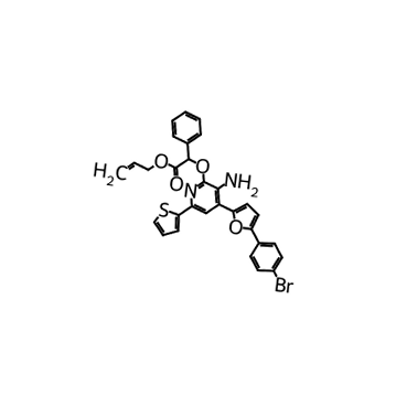 C=CCOC(=O)C(Oc1nc(-c2cccs2)cc(-c2ccc(-c3ccc(Br)cc3)o2)c1N)c1ccccc1